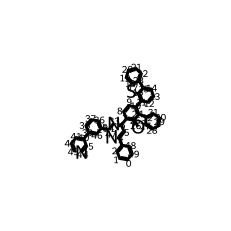 c1ccc(-c2cc(-c3ccc(-c4cccc5c4sc4ccccc45)c4c3oc3ccccc34)nc(-c3cccc(-c4cccnc4)c3)n2)cc1